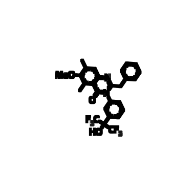 COc1c(C)cc2nc(Cc3ccccc3)n(-c3cccc(C(O)(C(F)(F)F)C(F)(F)F)c3)c(=O)c2c1C